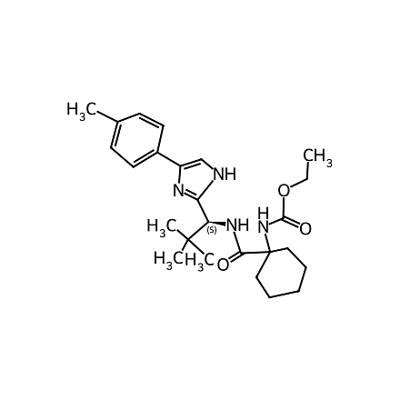 CCOC(=O)NC1(C(=O)N[C@H](c2nc(-c3ccc(C)cc3)c[nH]2)C(C)(C)C)CCCCC1